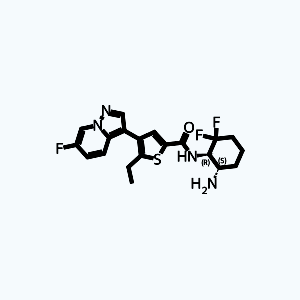 CCc1sc(C(=O)N[C@@H]2[C@@H](N)CCCC2(F)F)cc1-c1cnn2cc(F)ccc12